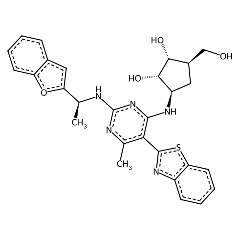 Cc1nc(N[C@@H](C)c2cc3ccccc3o2)nc(N[C@@H]2C[C@H](CO)[C@@H](O)[C@H]2O)c1-c1nc2ccccc2s1